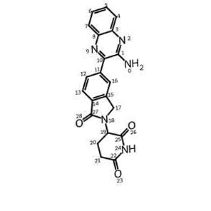 Nc1nc2ccccc2nc1-c1ccc2c(c1)CN(C1CCC(=O)NC1=O)C2=O